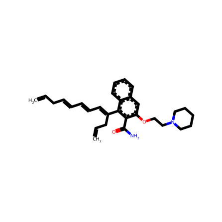 C=CCC=CC=CC=C(CC=C)c1c(C(N)=O)c(OCCN2CCCCC2)cc2ccccc12